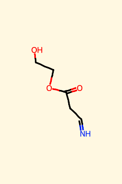 N=CCC(=O)OCCO